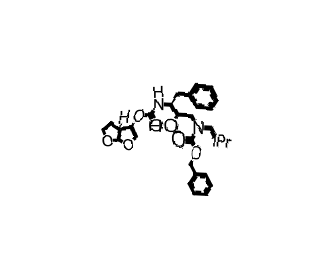 CC(C)CN(C[C@@H](O)[C@H](Cc1ccccc1)NC(=O)O[C@H]1COC2OCC[C@H]21)C(=O)OCc1ccccc1